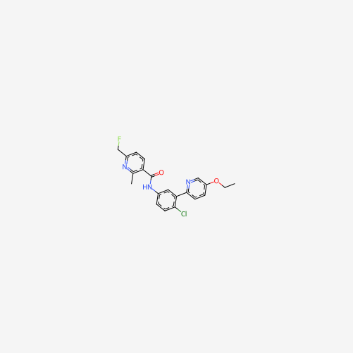 CCOc1ccc(-c2cc(NC(=O)c3ccc(CF)nc3C)ccc2Cl)nc1